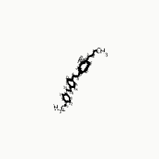 CCCCc1ccc(CCC2=CCC(CC[C@H]3CC[C@H](CC)CC3)CC2)cc1F